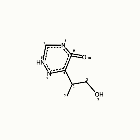 CC(CO)c1n[nH][c]nc1=O